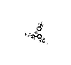 Cn1cnc(-c2cc(S(N)(=O)=O)ccc2Nc2ccc(C(F)(F)F)cn2)c1